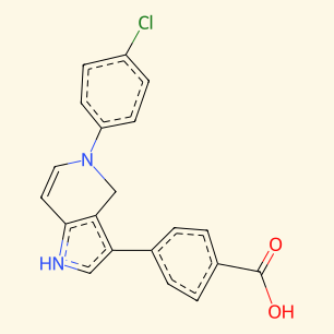 O=C(O)c1ccc(-c2c[nH]c3c2CN(c2ccc(Cl)cc2)C=C3)cc1